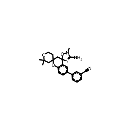 CN1OC2(CC3(CCOC(C)(C)C3)Oc3ccc(-c4cccc(C#N)c4)cc32)N=C1N